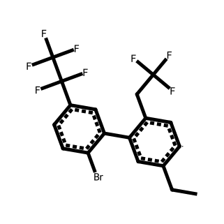 CCc1[c]cc(CC(F)(F)F)c(-c2cc(C(F)(F)C(F)(F)F)ccc2Br)c1